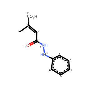 CC(=CC(=O)NNc1ccccc1)C(=O)O